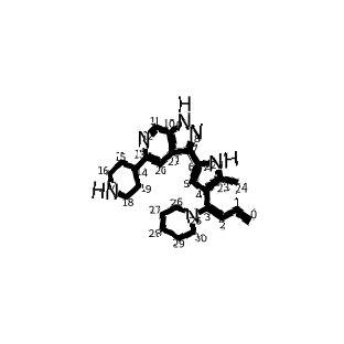 C=C/C=C(\c1cc(-c2n[nH]c3cnc(C4CCNCC4)cc23)[nH]c1C)N1CCCCC1